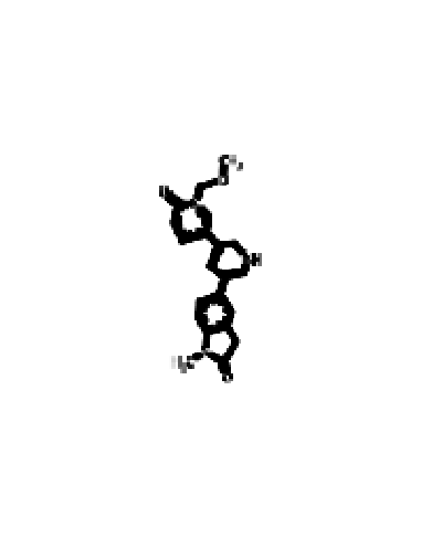 COCn1cc(C2=CC(c3ccc4c(c3)CC(=O)N4C)=CNC2)ccc1=O